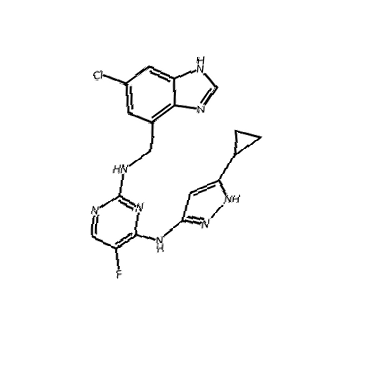 Fc1cnc(NCc2cc(Cl)cc3[nH]cnc23)nc1Nc1cc(C2CC2)[nH]n1